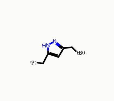 CC(C)Cc1cc(CC(C)(C)C)n[nH]1